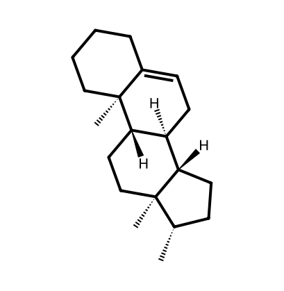 C[C@H]1CC[C@H]2[C@@H]3CC=C4CCCC[C@]4(C)[C@H]3CC[C@]12C